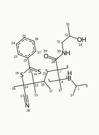 CC(C)BC(C)(C)C(C)(CC(C)C(C)(C)C(C)(C#N)SC(=S)c1ccccc1)C(=O)NCC(C)O